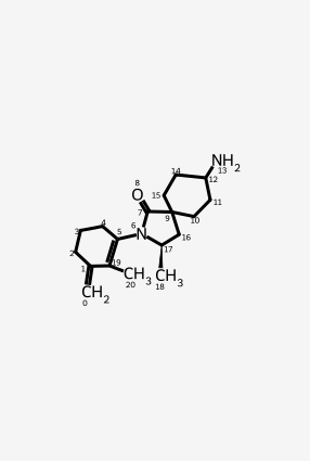 C=C1CCCC(N2C(=O)C3(CCC(N)CC3)C[C@H]2C)=C1C